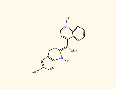 CCCN1/C(=C(\OC)c2cc[n+](CCC)c3ccccc23)CCc2cc(OC)ccc21